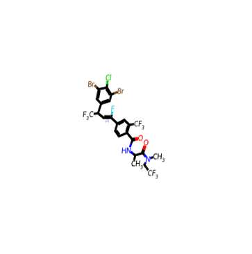 CC(NC(=O)c1ccc(/C(F)=C/C(c2cc(Br)c(Cl)c(Br)c2)C(F)(F)F)cc1C(F)(F)F)C(=O)N(C)CC(F)(F)F